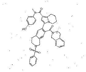 C[C@@H]1Cc2ccccc2CN1C(=O)c1cc2c(cc1-c1cc(C(=O)N(C)c3ccc(O)cc3)c3n1CCCC3)CCN(S(=O)(=O)c1ccccc1)C2